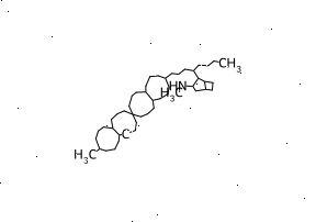 CCCCC(CCCC1CCCC2CCCC3(CCCC4CCCC(C)CCCC4CCC3)CCCC2CCC1)C1C(NC)CC2CCC21